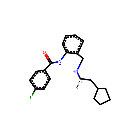 C[C@@H](CC1CCCC1)NCc1ccccc1NC(=O)c1ccc(F)cc1